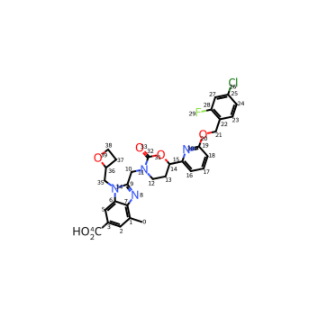 Cc1cc(C(=O)O)cc2c1nc(CN1CCC(c3cccc(OCc4ccc(Cl)cc4F)n3)OC1=O)n2CC1CCO1